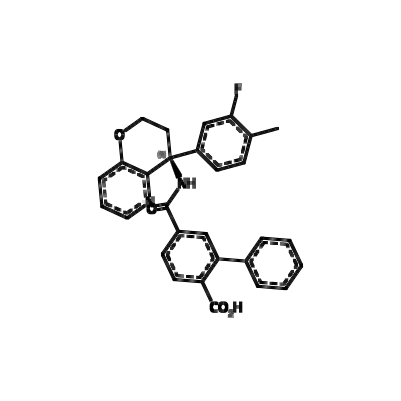 Cc1ccc([C@@]2(NC(=O)c3ccc(C(=O)O)c(-c4ccccc4)c3)CCOc3cccnc32)cc1F